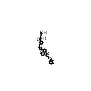 Cc1cccc(OCCCC(=O)N2CCCOc3c(-c4cnn(Cc5cccc(C(=O)NCCCO)c5)c4)cccc32)c1C